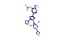 Nc1ncc(-c2cn(C3[C@H]4CN(C5COC5)C[C@@H]34)c(C3CCC3)n2)cc1OC(F)F